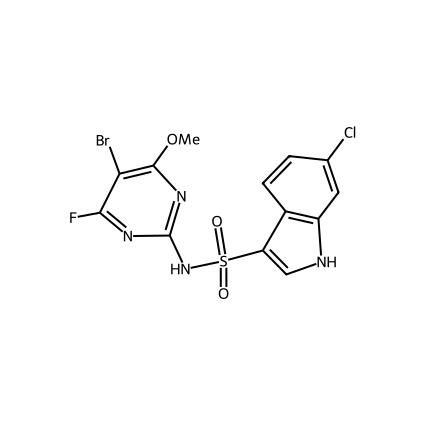 COc1nc(NS(=O)(=O)c2c[nH]c3cc(Cl)ccc23)nc(F)c1Br